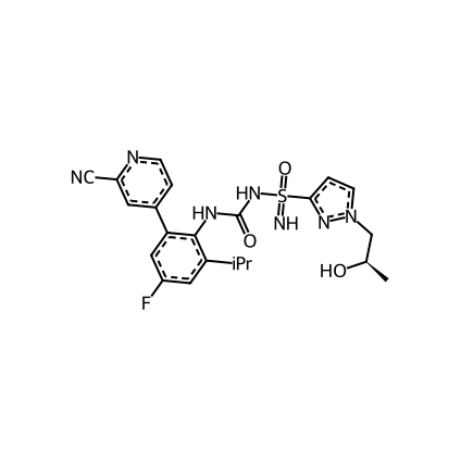 CC(C)c1cc(F)cc(-c2ccnc(C#N)c2)c1NC(=O)NS(=N)(=O)c1ccn(C[C@@H](C)O)n1